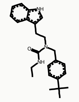 CCNC(=O)N(CCc1c[nH]c2ccccc12)Cc1ccc(C(C)(C)C)cc1